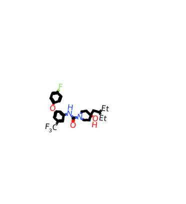 CCC(CC)CC1(O)CCN(C(=O)Nc2cc(Oc3ccc(F)cc3)cc(C(F)(F)F)c2)CC1